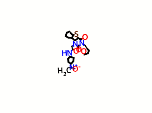 C=[N+]([O-])c1ccc(NC(=O)Cn2c(=O)n(Cc3ccco3)c(=O)c3sc4ccccc4c32)cc1